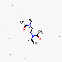 C=CN(CCN(C=C)C(C)=O)C(C)=O